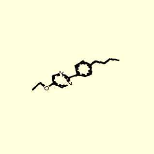 CCCCc1ccc(-c2ncc(OCC)cn2)cc1